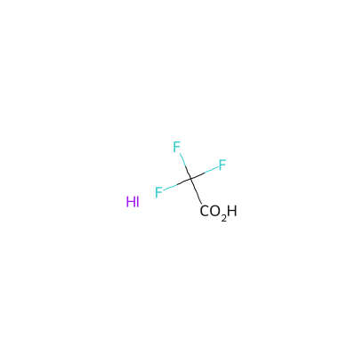 I.O=C(O)C(F)(F)F